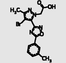 Cc1cccc(-c2nc(-c3c(Br)c(C)nn3CC(=O)O)no2)c1